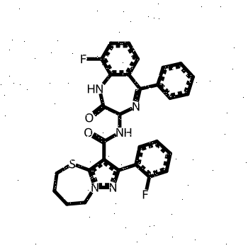 O=C(NC1N=C(c2ccccc2)c2cccc(F)c2NC1=O)c1c(-c2ccccc2F)nn2c1SCCCC2